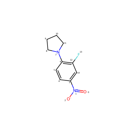 O=[N+]([O-])c1ccc(N2CCCC2)c(F)c1